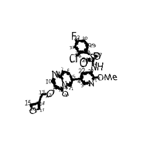 COc1ncc(-c2ccc3ncc(OCC4COC4)c(=O)n3c2)cc1NS(=O)(=O)c1ccc(F)cc1Cl